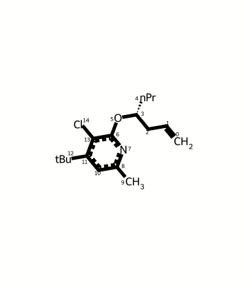 C=CC[C@@H](CCC)Oc1nc(C)cc(C(C)(C)C)c1Cl